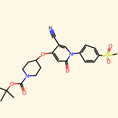 CC(C)(C)OC(=O)N1CCC(Oc2cc(=O)n(-c3ccc(S(C)(=O)=O)cc3)cc2C#N)CC1